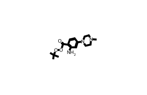 CN1CCN(c2ccc(C(=O)OOC(C)(C)C)c(N)c2)CC1